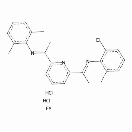 CC(=Nc1c(C)cccc1C)c1cccc(C(C)=Nc2c(C)cccc2Cl)n1.Cl.Cl.[Fe]